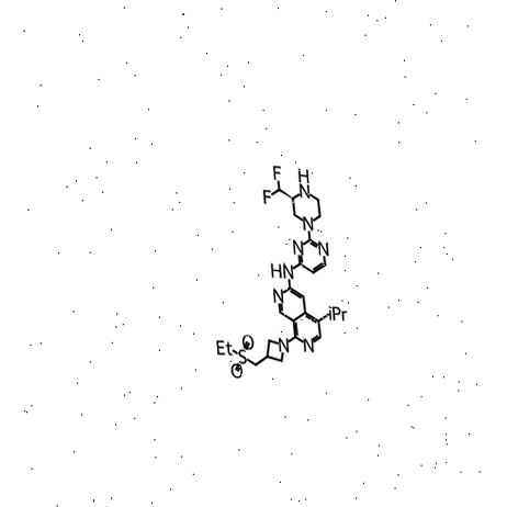 CCS(=O)(=O)CC1CN(c2ncc(C(C)C)c3cc(Nc4ccnc(N5CCN[C@H](C(F)F)C5)n4)ncc23)C1